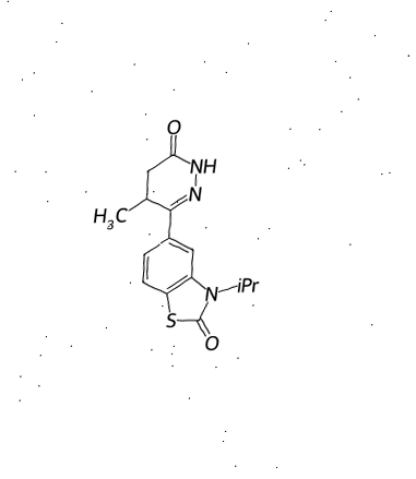 CC1CC(=O)NN=C1c1ccc2sc(=O)n(C(C)C)c2c1